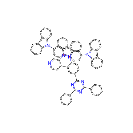 c1ccc(-c2nc(-c3ccccc3)nc(-c3ccc(-n4c5ccccc5c5cc(-n6c7ccccc7c7ccccc76)ccc54)c(-c4ccncc4-n4c5ccccc5c5cc(-n6c7ccccc7c7ccccc76)ccc54)c3)n2)cc1